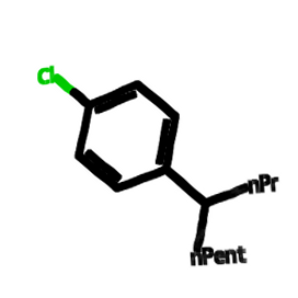 CCCCCC(CCC)c1ccc(Cl)cc1